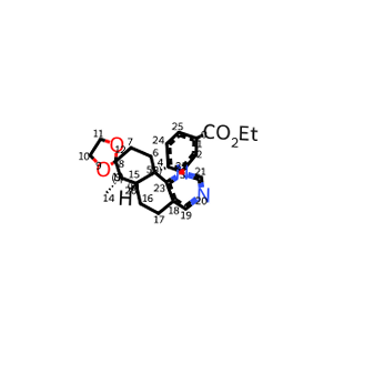 CCOC(=O)c1ccc([C@@]23CCC4(OCCO4)[C@@H](C)[C@H]2CCc2cncnc23)cc1